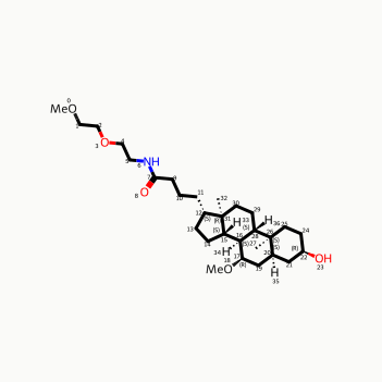 COCCOCCNC(=O)CCC[C@H]1CC[C@H]2[C@@H]3[C@H](OC)C[C@@H]4C[C@H](O)CC[C@]4(C)[C@H]3CC[C@]12C